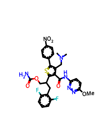 COc1ccc(NC(=O)c2c(C(COC(N)=O)Cc3c(F)cccc3F)sc(-c3ccc([N+](=O)[O-])cc3)c2CN(C)C)nn1